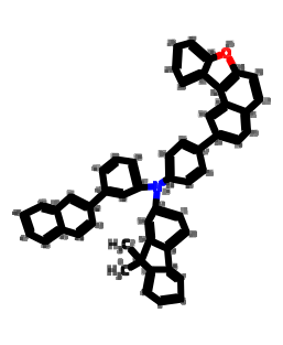 CC1(C)c2ccccc2-c2ccc(N(c3ccc(-c4ccc5ccc6oc7ccccc7c6c5c4)cc3)c3cccc(-c4ccc5ccccc5c4)c3)cc21